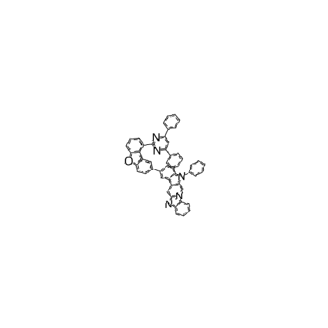 c1ccc(-c2cc(-c3ccccc3)nc(-c3cccc4oc5ccc(-c6ccc7c(c6)c6cc8nc9ccccc9n8cc6n7-c6ccccc6)cc5c34)n2)cc1